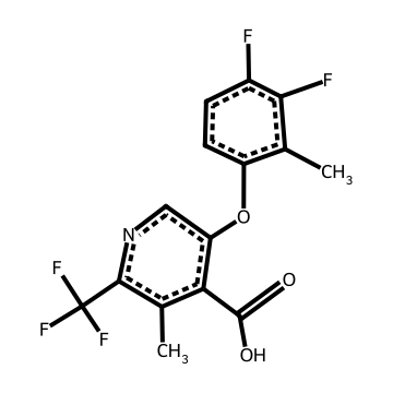 Cc1c(Oc2cnc(C(F)(F)F)c(C)c2C(=O)O)ccc(F)c1F